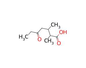 CCC(=O)CC(C)C(C)C(=O)O